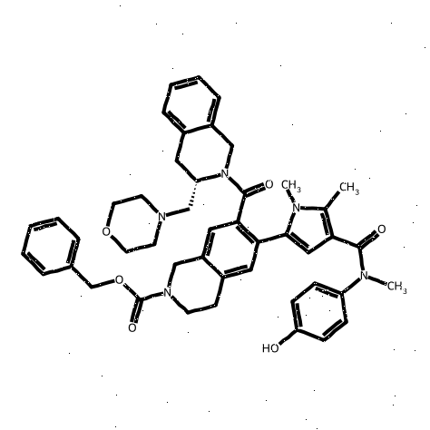 Cc1c(C(=O)N(C)c2ccc(O)cc2)cc(-c2cc3c(cc2C(=O)N2Cc4ccccc4C[C@H]2CN2CCOCC2)CN(C(=O)OCc2ccccc2)CC3)n1C